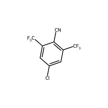 N#Cc1c(C(F)(F)F)cc(Cl)cc1C(F)(F)F